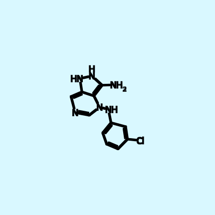 NC1=C2C(=CN=CN2Nc2cccc(Cl)c2)NN1